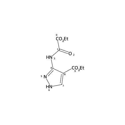 CCOC(=O)C(=O)Nc1n[nH]cc1C(=O)OCC